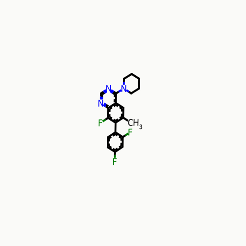 Cc1cc2c(N3CCCCC3)ncnc2c(F)c1-c1ccc(F)cc1F